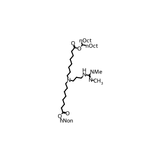 CCCCCCCCCOC(=O)CCCCCCCN(CCCCCCCC(=O)OC(CCCCCCCC)CCCCCCCC)CCCNC(=NC)NC